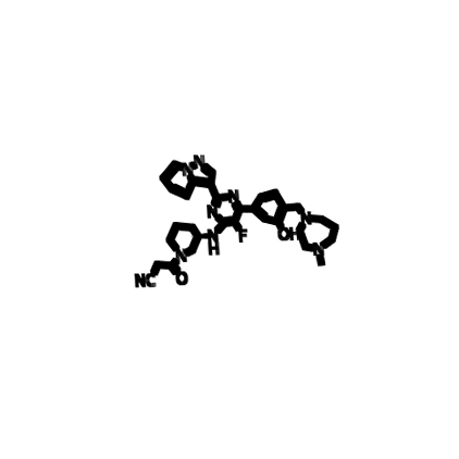 CN1CCCN(Cc2ccc(-c3nc(-c4cnn5ccccc45)nc(N[C@@H]4CCCN(C(=O)CC#N)C4)c3F)cc2O)CC1